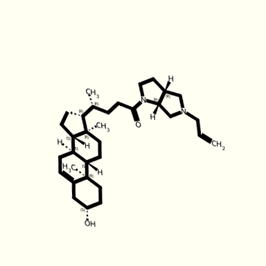 C=CCN1C[C@H]2CCN(C(=O)CC[C@@H](C)[C@H]3CC[C@H]4[C@@H]5CC=C6C[C@@H](O)CC[C@]6(C)[C@H]5CC[C@]34C)[C@H]2C1